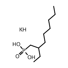 CCCCCCC(CC)CP(=O)(O)O.[KH]